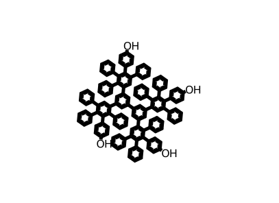 Oc1ccc(-c2c(-c3ccccc3)cc(-c3cc(-c4cc(-c5cc(-c6ccccc6)c(-c6ccc(O)cc6)c(-c6ccccc6)c5-c5ccccc5)cc(-c5cc(-c6ccccc6)c(-c6ccccc6)c(-c6ccc(O)cc6)c5-c5ccccc5)c4)cc(-c4cc(-c5ccccc5)c(-c5ccccc5)c(-c5ccc(O)cc5)c4-c4ccccc4)c3)c(-c3ccccc3)c2-c2ccccc2)cc1